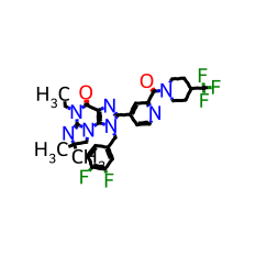 CCN1C(=O)c2nc(-c3ccnc(C(=O)N4CCC(C(F)(F)F)CC4)c3)n(Cc3ccc(F)c(F)c3)c2N2CC(C)(C)N=C12